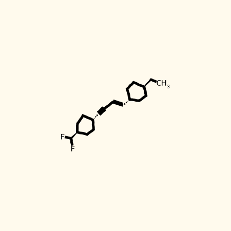 CC[C@H]1CC[C@H](C=CC#C[C@H]2CC[C@H](C(F)F)CC2)CC1